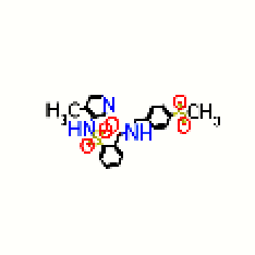 Cc1ccncc1NS(=O)(=O)c1ccccc1C(=O)NCc1ccc(S(C)(=O)=O)cc1